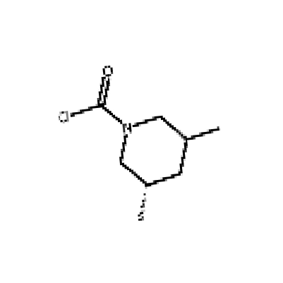 CC1C[C@H](C)CN(C(=O)Cl)C1